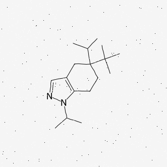 CC(C)n1ncc2c1CCC(C(C)C)(C(C)(C)C)C2